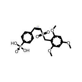 COc1cc(OC)c(CS(=O)(=O)/C=C\c2ccc(P(=O)(O)O)cc2)c(OC)c1